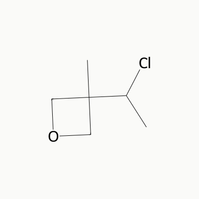 CC(Cl)C1(C)COC1